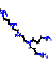 NCCCNCCNCCN(CCCN)CCCN